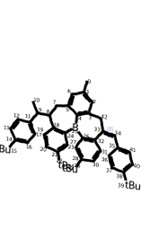 Cc1cc2c3c(c1)CC(C(C)c1ccc(C(C)(C)C)cc1)c1ccc(C(C)(C)C)cc1B3c1cc(C(C)(C)C)ccc1/C(=C\c1ccc(C(C)(C)C)cc1)C2